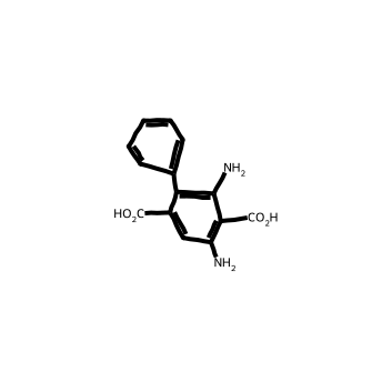 Nc1cc(C(=O)O)c(-c2ccccc2)c(N)c1C(=O)O